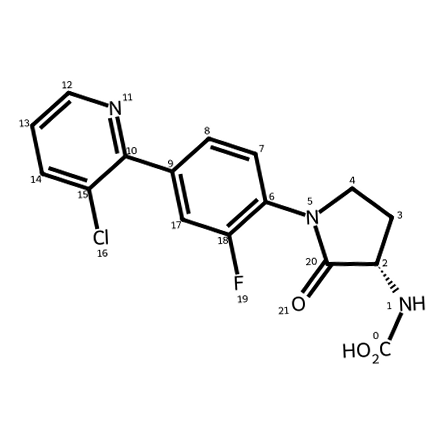 O=C(O)N[C@H]1CCN(c2ccc(-c3ncccc3Cl)cc2F)C1=O